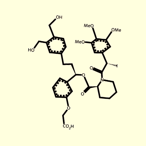 COc1cc([C@H](I)C(=O)N2CCCC[C@H]2C(=O)O[C@H](CCc2ccc(CO)c(CO)c2)c2cccc(OCC(=O)O)c2)cc(OC)c1OC